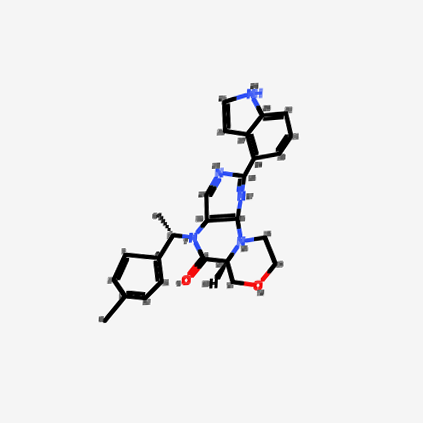 Cc1ccc([C@H](C)N2C(=O)[C@H]3COCCN3c3nc(-c4cccc5[nH]ccc45)ncc32)cc1